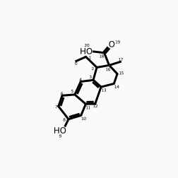 CCC1c2cc3ccc(O)cc3cc2CCC1(C)C(=O)O